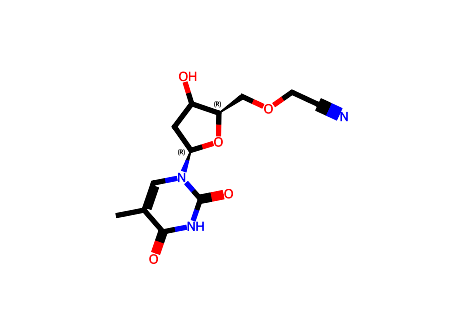 Cc1cn([C@H]2CC(O)[C@@H](COCC#N)O2)c(=O)[nH]c1=O